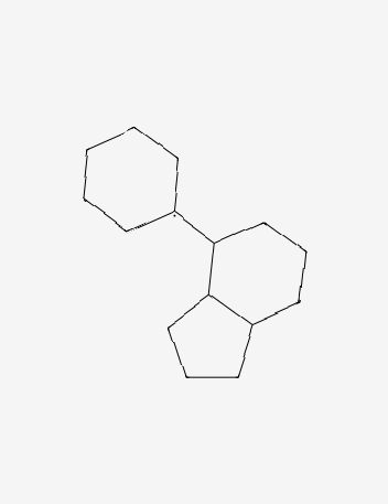 C1CC[C](C2CCCC3CCCC32)CC1